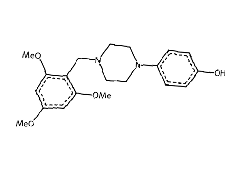 COc1cc(OC)c(CN2CCN(c3ccc(O)cc3)CC2)c(OC)c1